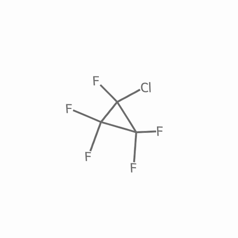 FC1(F)C(F)(F)C1(F)Cl